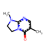 Cc1cnc2n(c1=O)CCN2C